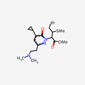 COC(=O)C(C(CC(C)C)SC)n1nc(CCN(C)C)cc(C2CC2)c1=O